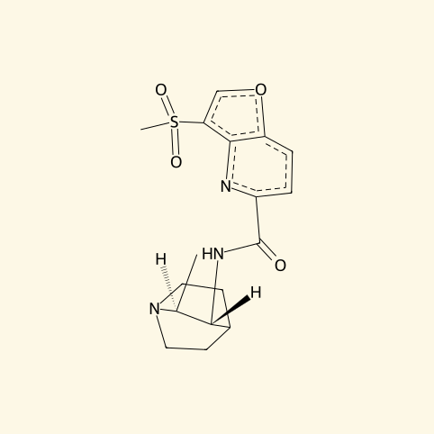 C[C@H]1[C@H](NC(=O)c2ccc3occ(S(C)(=O)=O)c3n2)C2CCN1CC2